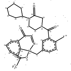 O=C1C=N[N+](Cc2ccc(F)c(C(=O)N3CCN(C4CCCCC4)C(=O)C3)c2)(OC(=O)C(F)(F)F)c2ccccc21